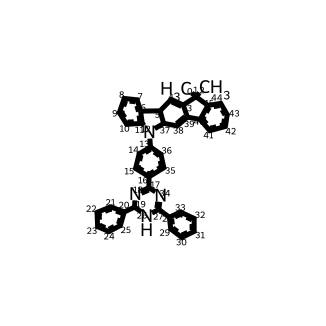 CC1(C)C2=CC3c4ccccc4N(c4ccc(C5=NC(c6ccccc6)NC(c6ccccc6)=N5)cc4)C3C=C2c2ccccc21